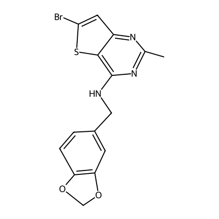 Cc1nc(NCc2ccc3c(c2)OCO3)c2sc(Br)cc2n1